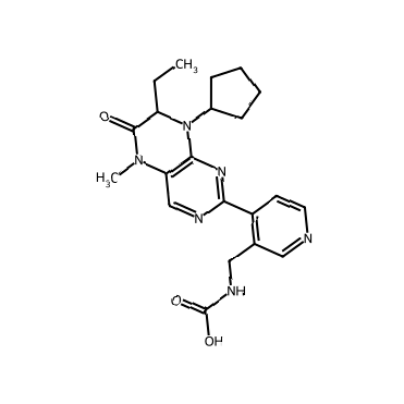 CCC1C(=O)N(C)c2cnc(-c3ccncc3CNC(=O)O)nc2N1C1CCCC1